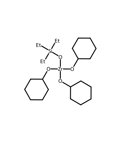 CC[Si](CC)(CC)[O][Zr]([O]C1CCCCC1)([O]C1CCCCC1)[O]C1CCCCC1